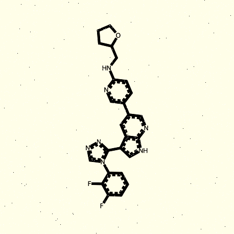 Fc1cccc(-n2cnnc2-c2c[nH]c3ncc(-c4ccc(NCC5CCCO5)nc4)cc23)c1F